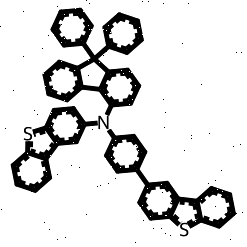 c1ccc(C2(c3ccccc3)c3ccccc3-c3c(N(c4ccc(-c5ccc6sc7ccccc7c6c5)cc4)c4ccc5sc6ccccc6c5c4)cccc32)cc1